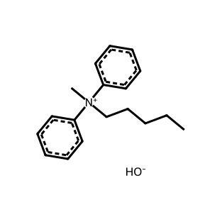 CCCCC[N+](C)(c1ccccc1)c1ccccc1.[OH-]